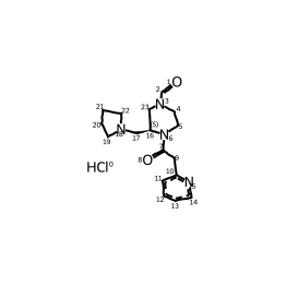 Cl.O=CN1CCN(C(=O)Cc2ccccn2)[C@@H](CN2CCCC2)C1